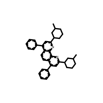 CC1CCCC(c2cc(-c3ccccc3)c3ccc4c(-c5ccccc5)cc(C5CCCC(C)C5)nc4c3n2)C1